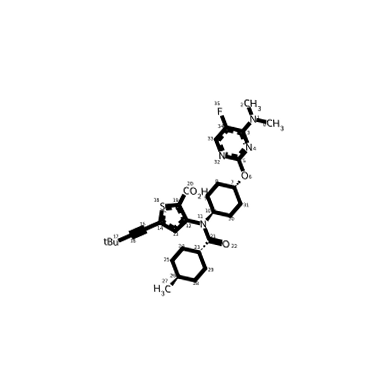 CN(C)c1nc(O[C@H]2CC[C@H](N(c3cc(C#CC(C)(C)C)sc3C(=O)O)C(=O)[C@H]3CC[C@H](C)CC3)CC2)ncc1F